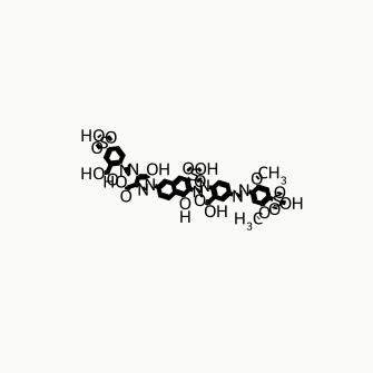 COc1cc(S(=O)(=O)O)c(OC)cc1/N=N/c1ccc(/N=N/c2c(S(=O)(=O)O)cc3cc(-n4nc(C(=O)O)c(/N=N/c5ccc(S(=O)(=O)O)cc5C(=O)O)c4O)ccc3c2O)c(C(=O)O)c1